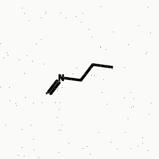 [CH]=NCCC